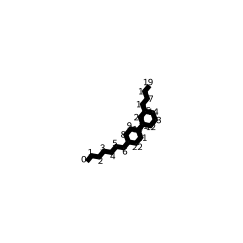 CCCCCCCC1CCC(C2CCCC(CCCC)C2)CC1